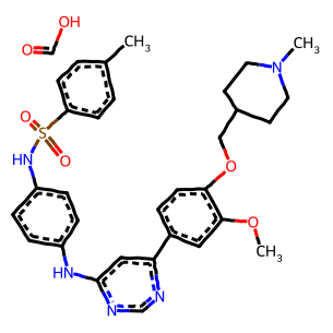 COc1cc(-c2cc(Nc3ccc(NS(=O)(=O)c4ccc(C)cc4)cc3)ncn2)ccc1OCC1CCN(C)CC1.O=CO